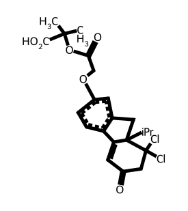 CC(C)C12Cc3cc(OCC(=O)OC(C)(C)C(=O)O)ccc3C1=CC(=O)CC2(Cl)Cl